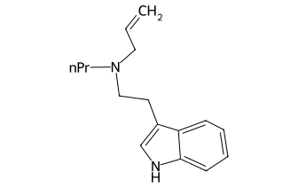 C=CCN(CCC)CCc1c[nH]c2ccccc12